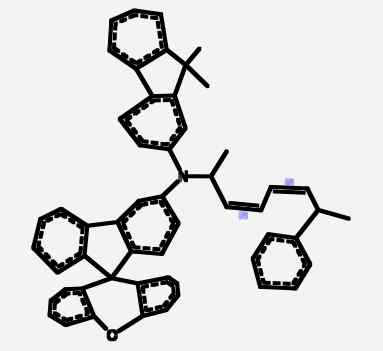 CC(/C=C\C=C/C(C)N(c1ccc2c(c1)-c1ccccc1C21c2ccccc2Oc2ccccc21)c1ccc2c(c1)C(C)(C)c1ccccc1-2)c1ccccc1